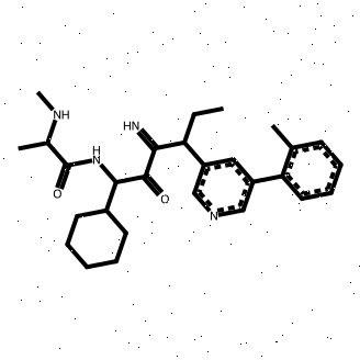 CCC(C(=N)C(=O)C(NC(=O)C(C)NC)C1CCCCC1)c1cncc(-c2ccccc2C)c1